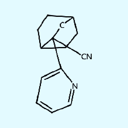 N#CC1(c2ccccn2)CC2CCC1CC2